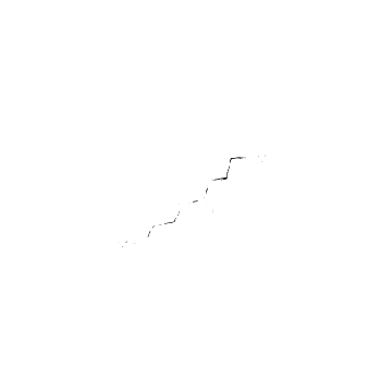 COCC[O][AlH][O]CCOC.[H+]